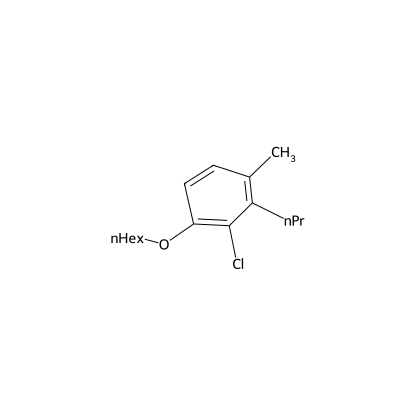 CCCCCCOc1ccc(C)c(CCC)c1Cl